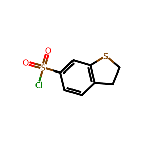 O=S(=O)(Cl)c1ccc2c(c1)SCC2